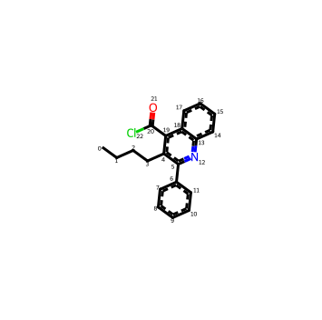 CCCCc1c(-c2ccccc2)nc2ccccc2c1C(=O)Cl